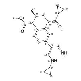 COC(=O)N1c2ccc(/C(C=N)=C/NC3CC3)cc2N(C(=O)C2CC2)C[C@@H]1C